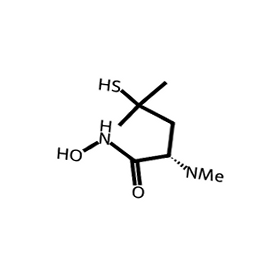 CN[C@@H](CC(C)(C)S)C(=O)NO